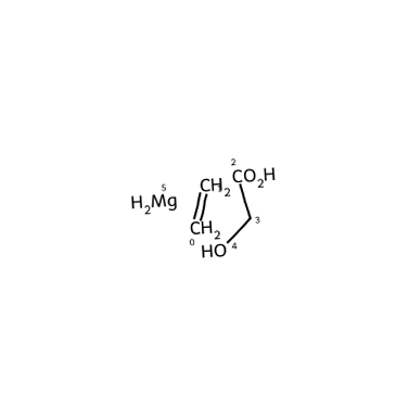 C=C.O=C(O)CO.[MgH2]